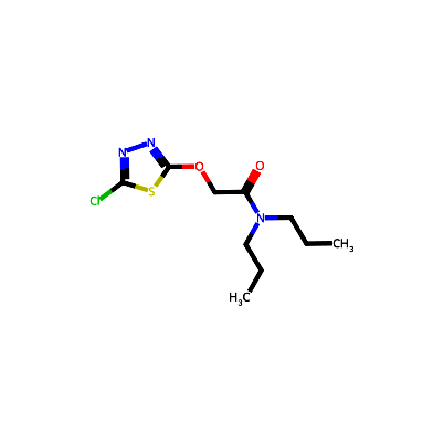 CCCN(CCC)C(=O)COc1nnc(Cl)s1